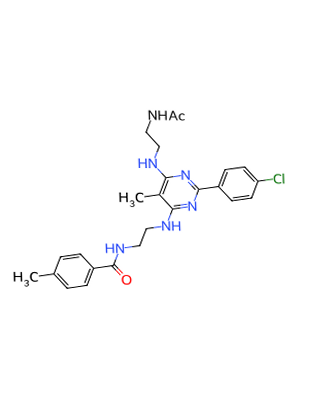 CC(=O)NCCNc1nc(-c2ccc(Cl)cc2)nc(NCCNC(=O)c2ccc(C)cc2)c1C